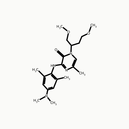 COCCC(COC)n1cc(C)nc(Nc2c(C)cc(N(C)C)cc2C)c1=O